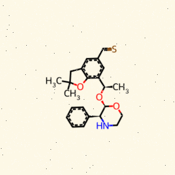 C[C@@H](O[C@H]1OCCN[C@H]1c1ccccc1)c1cc(C=S)cc2c1OC(C)(C)C2